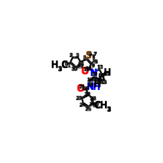 Cc1ccc(-c2sccc2C(=O)N2C[C@@H]3C[C@@H]3[C@H]2CNC(=O)c2cccc(C)c2)cc1